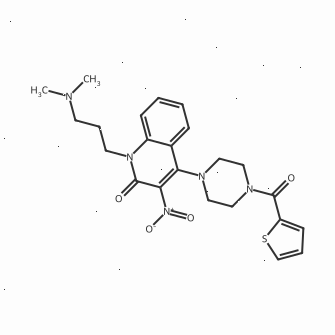 CN(C)CCCn1c(=O)c([N+](=O)[O-])c(N2CCN(C(=O)c3cccs3)CC2)c2ccccc21